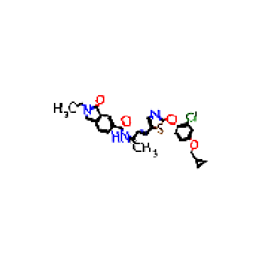 CCN1Cc2ccc(C(=O)N[C@@H](C)/C=C/c3cnc(Oc4ccc(OCC5CC5)cc4Cl)s3)cc2C1=O